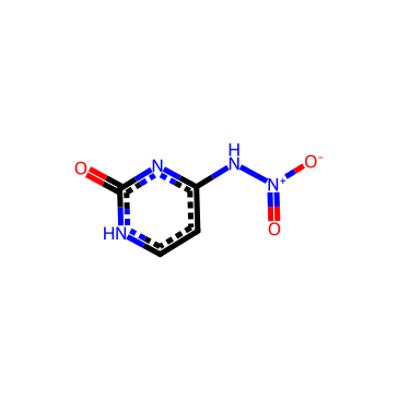 O=c1nc(N[N+](=O)[O-])cc[nH]1